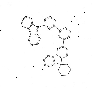 c1ccc(C2(c3ccc(-c4cccc(-c5cccc(-n6c7ccccc7c7cnccc76)n5)n4)cc3)CCCCC2)cc1